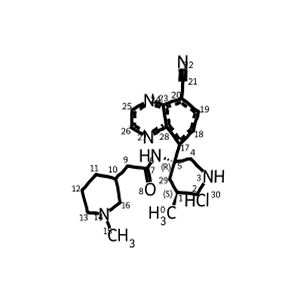 C[C@@H]1CNC[C@](NC(=O)CC2CCCN(C)C2)(c2ccc(C#N)c3nccnc23)C1.Cl